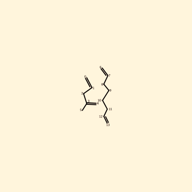 C=CCC(=C)C.C=CCCCCC=C